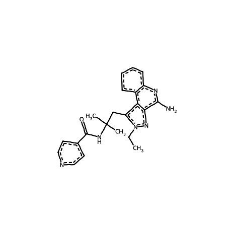 CCn1nc2c(N)nc3ccccc3c2c1CC(C)(C)NC(=O)c1ccncc1